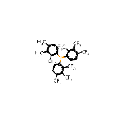 Cc1ccc(P(c2ccc(C(F)(F)F)c(C(F)(F)F)c2C(F)(F)F)c2ccc(C(F)(F)F)c(C(F)(F)F)c2C(F)(F)F)c(C)c1C